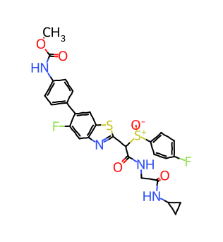 COC(=O)Nc1ccc(-c2cc3sc(C(C(=O)NCC(=O)NC4CC4)[S+]([O-])c4ccc(F)cc4)nc3cc2F)cc1